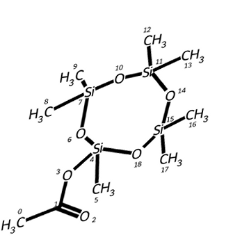 CC(=O)O[Si]1(C)O[Si](C)(C)O[Si](C)(C)O[Si](C)(C)O1